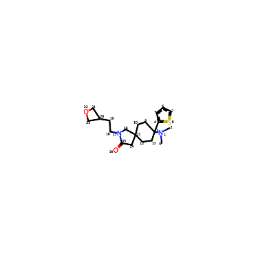 CN(C)C1(c2cccs2)CCC2(CC1)CC(=O)N(CCC1COC1)C2